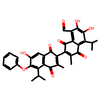 CC1=C(C2=C(C)C(=O)c3c(c(C=O)c(O)c(O)c3C(C)C)C2=O)C(=O)c2cc(O)c(Oc3ccccc3)c(C(C)C)c2C1=O